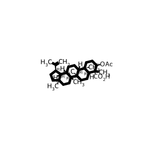 C=C(C)[C@@H]1CC[C@]2(C)CC[C@]3(C)[C@H](CC[C@@H]4[C@@]5(C)CC[C@@H](OC(C)=O)[C@](C)(C(=O)O)[C@@H]5CC[C@]43C)[C@@H]12